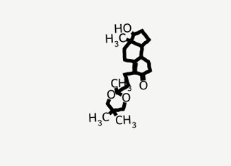 CC1(C)COC(C)(CCC2=C3CCC4(C)C(O)CCC4C3CCC2=O)OC1